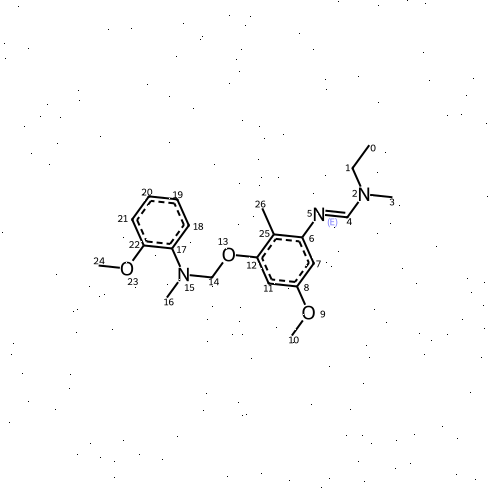 CCN(C)/C=N/c1cc(OC)cc(OCN(C)c2ccccc2OC)c1C